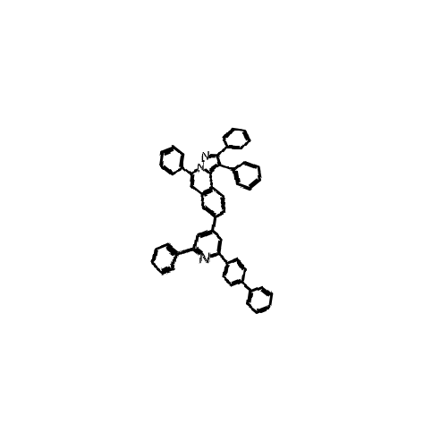 c1ccc(-c2ccc(-c3cc(-c4ccc5c(c4)cc(-c4ccccc4)n4nc(-c6ccccc6)c(-c6ccccc6)c54)cc(-c4ccccc4)n3)cc2)cc1